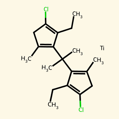 CCC1=C(Cl)CC(C)=C1C(C)(C)C1=C(C)CC(Cl)=C1CC.[Ti]